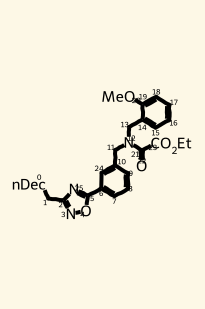 CCCCCCCCCCCc1noc(-c2cccc(CN(Cc3ccccc3OC)C(=O)C(=O)OCC)c2)n1